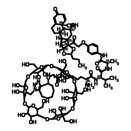 CCCC1O[C@@H]2C[C@H]3[C@@H]4CCC5=CC(=O)C=C[C@]5(C)[C@H]4[C@@H](O)C[C@]3(C)[C@]2(C(=O)COc2ccc(NC(=O)[C@H](C)NC(=O)[C@@H](NC(=O)[C@H](N)CCCCNC(=O)COC3CCCCCc4c3nnn4CC3OC4OC5C(CO)OC(OC6C(CO)OC(OC7C(CO)OC(OC8C(CO)OC(OC9C(CO)OC(OC3C(O)C4O)C(O)C9O)C(O)C8O)C(O)C7O)C(O)C6O)C(O)C5O)C(C)C)cc2)O1